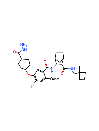 COc1cc(F)c(OC2CCC(C(=O)NN)CC2)cc1C(=O)NC1C2CCC(C2)C1C(=O)NCC1(C)CCC1